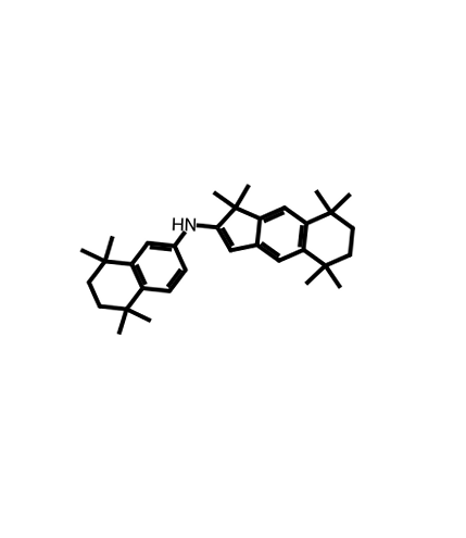 CC1(C)CCC(C)(C)c2cc(NC3=Cc4cc5c(cc4C3(C)C)C(C)(C)CCC5(C)C)ccc21